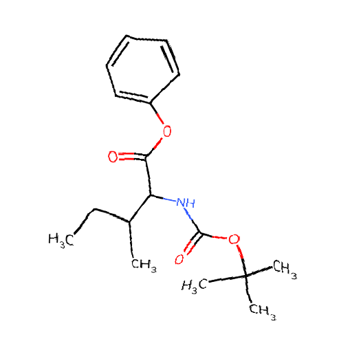 CCC(C)C(NC(=O)OC(C)(C)C)C(=O)Oc1ccccc1